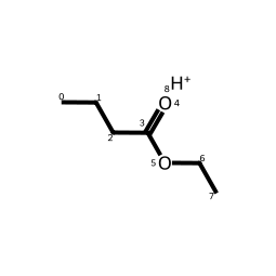 CCCC(=O)OCC.[H+]